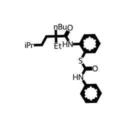 CCCCC(CC)(CCC(C)C)C(=O)Nc1ccccc1SC(=O)Nc1ccccc1